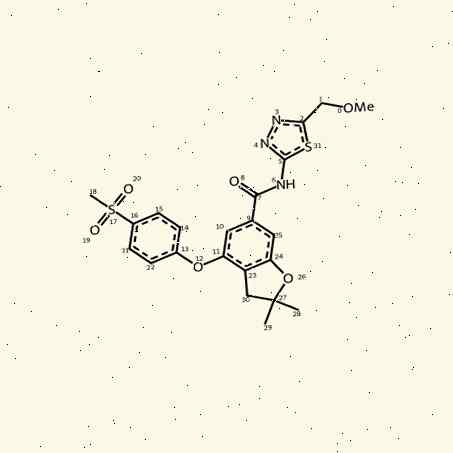 COCc1nnc(NC(=O)c2cc(Oc3ccc(S(C)(=O)=O)cc3)c3c(c2)OC(C)(C)C3)s1